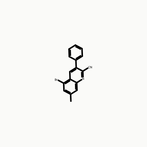 Cc1cc(Br)c2cc(-c3ccccc3)c(C#N)nc2c1